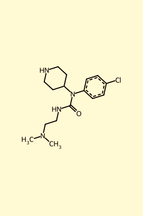 CN(C)CCNC(=O)N(c1ccc(Cl)cc1)C1CCNCC1